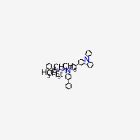 CC/C(=C\C=C(/C)N(c1ccc(-c2ccccc2)cc1)c1ccc(-c2ccc3c(c2)c2ccccc2n3-c2ccccc2)cc1)C(C)(C)c1ccccc1C